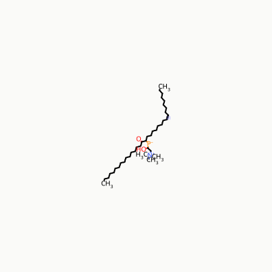 CCCCCCCC/C=C\CCCCCCCC([P-]C(O)C[N+](C)(C)C)C(=O)CCCCCCCCCCCCCCC